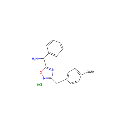 COc1ccc(Cc2noc(C(N)c3ccccc3)n2)cc1.Cl